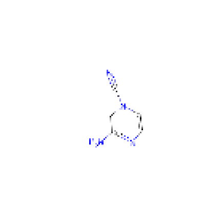 N#CN1C=CN=C(N)C1